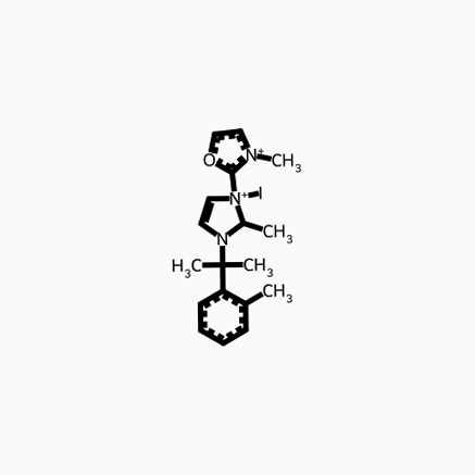 Cc1ccccc1C(C)(C)N1C=C[N+](I)(c2occ[n+]2C)C1C